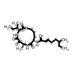 CCC(C)CC/C=C/C(=O)N[C@H]1CCCNC(=O)[C@H](C(C)CC)NC(=O)C(=O)[C@H](C)NC1=O